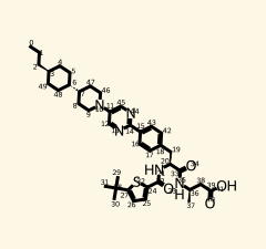 CCC[C@H]1CC[C@H](C2CCN(c3cnc(-c4ccc(C[C@H](NC(=O)c5ccc(C(C)(C)C)s5)C(=O)N[C@H](C)CC(=O)O)cc4)nc3)CC2)CC1